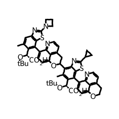 Cc1cc2nc(N3CCC3)sc2c(-c2ccc3c4c(ccnc24)CC(c2c(C)c([C@H](OC(C)(C)C)C(=O)O)c(-c4ccc5c6c(ccnc46)CCO5)c4sc(C5CC5)nc24)O3)c1[C@H](OC(C)(C)C)C(=O)O